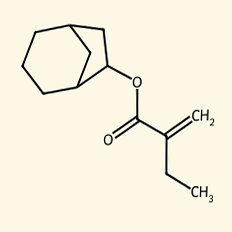 C=C(CC)C(=O)OC1CC2CCCC1C2